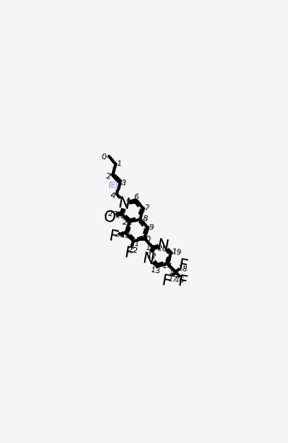 CC/C=C/Cn1ccc2cc(-c3ncc(C(F)(F)F)cn3)c(F)c(F)c2c1=O